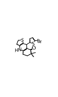 CC1(C)CCC2=C(C1=O)C(c1ccc(Br)s1)C1=C(CCS1)N2